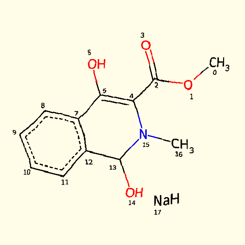 COC(=O)C1=C(O)c2ccccc2C(O)N1C.[NaH]